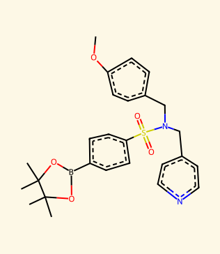 COc1ccc(CN(Cc2ccncc2)S(=O)(=O)c2ccc(B3OC(C)(C)C(C)(C)O3)cc2)cc1